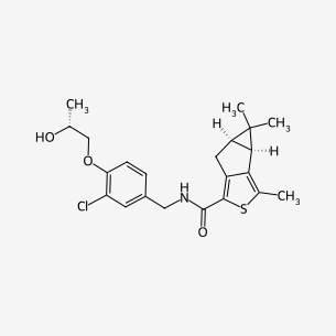 Cc1sc(C(=O)NCc2ccc(OC[C@@H](C)O)c(Cl)c2)c2c1[C@H]1[C@@H](C2)C1(C)C